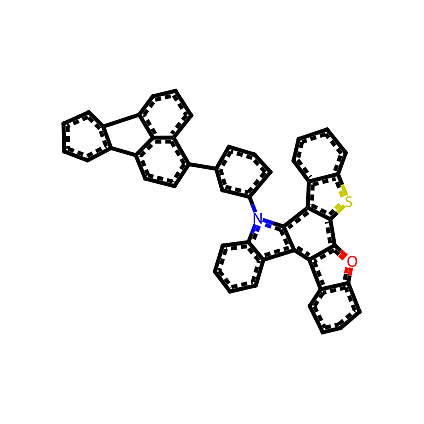 c1cc(-c2ccc3c4c(cccc24)-c2ccccc2-3)cc(-n2c3ccccc3c3c4c5ccccc5oc4c4sc5ccccc5c4c32)c1